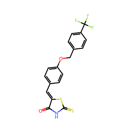 O=C1NC(=S)S/C1=C\c1ccc(OCc2ccc(C(F)(F)F)cc2)cc1